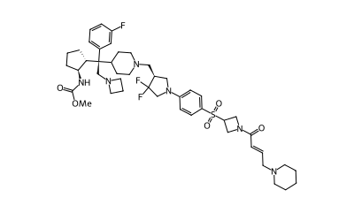 COC(=O)N[C@H]1CCC[C@@H]1[C@](CN1CCC1)(c1cccc(F)c1)C1CCN(C[C@H]2CN(c3ccc(S(=O)(=O)C4CN(C(=O)/C=C/CN5CCCCC5)C4)cc3)CC2(F)F)CC1